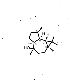 C[C@@H]1CC[C@H]2[C@@H]1[C@H]1[C@@H](CC[C@]2(C)O)C1(C)C